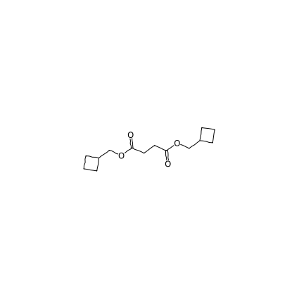 O=C(CCC(=O)OCC1CCC1)OCC1CCC1